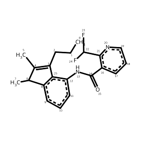 CCCC1=C(C)C(C)c2cccc(NC(=O)c3cccnc3C(F)F)c21